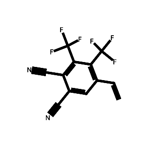 C=Cc1cc(C#N)c(C#N)c(C(F)(F)F)c1C(F)(F)F